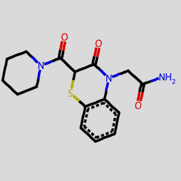 NC(=O)CN1C(=O)C(C(=O)N2CCCCC2)Sc2ccccc21